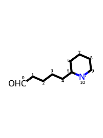 O=CCCCCC1CCCC[N]1